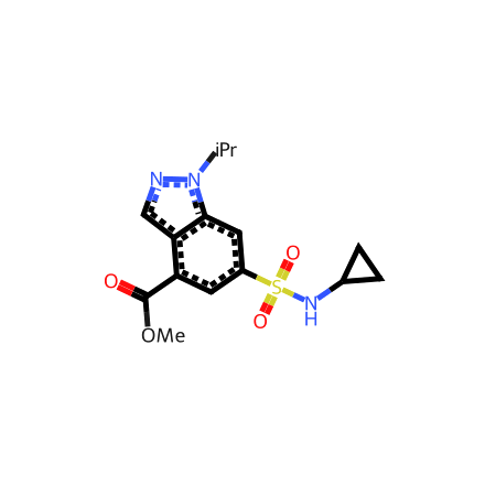 COC(=O)c1cc(S(=O)(=O)NC2CC2)cc2c1cnn2C(C)C